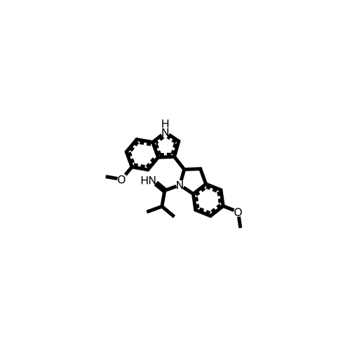 COc1ccc2c(c1)CC(c1c[nH]c3ccc(OC)cc13)N2C(=N)C(C)C